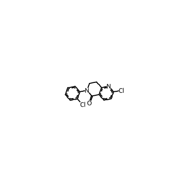 O=C1c2ccc(Cl)nc2CCN1c1ccccc1Cl